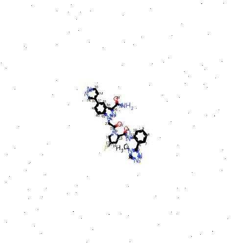 Cn1cnnc1-c1ccccc1NC(=O)C1C[C@@H](F)CN1C(=O)Cn1nc(C(N)=O)c2cc(-c3ccnnc3)ccc21